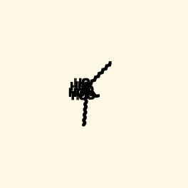 CCCCCCCCCCCCC(O)[C@H]1O[C@@H](OCCC)[C@@](O)(CCCCCCCCCCCC)[C@@H](O)[C@H]1O